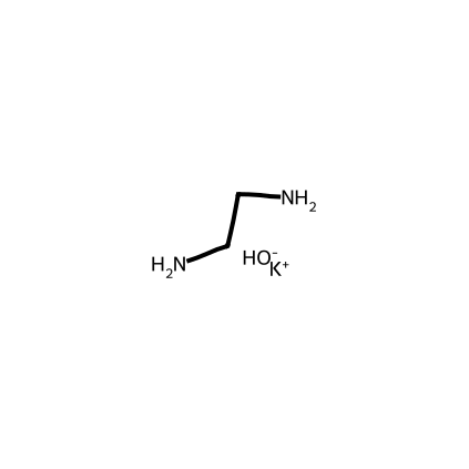 NCCN.[K+].[OH-]